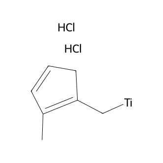 CC1=C([CH2][Ti])CC=C1.Cl.Cl